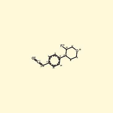 O=C=Nc1ccc(N2CCOCC2F)cc1